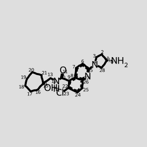 N[C@H]1CCN(c2ccc3c(C(=O)NCC4(O)CCCCCC4)c(Cl)ccc3n2)C1